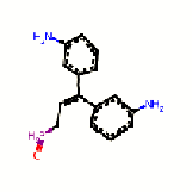 Nc1cccc(C(=CC[PH2]=O)c2cccc(N)c2)c1